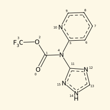 O=C(OC(F)(F)F)N(c1ccccn1)c1nc[nH]n1